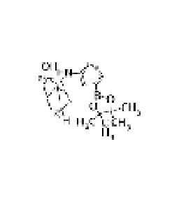 CC1(C)OB(c2cccc(NC3C4CC5C[C@@H](C4)C[C@@]3(O)C5)c2)OC1(C)C